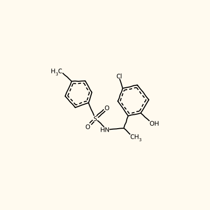 Cc1ccc(S(=O)(=O)NC(C)c2cc(Cl)ccc2O)cc1